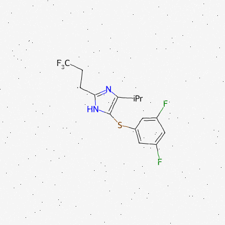 CC(C)c1nc([CH]CC(F)(F)F)[nH]c1Sc1cc(F)cc(F)c1